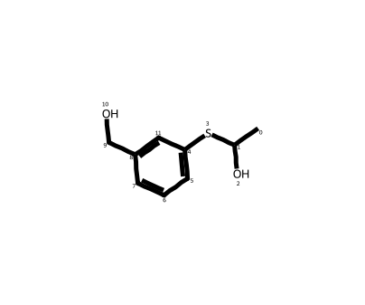 CC(O)Sc1cccc(CO)c1